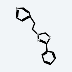 c1ccc(C2=NN(CCc3ccncc3)CO2)cc1